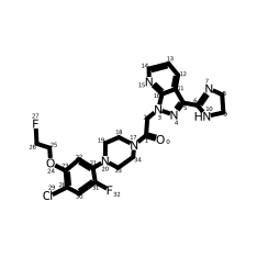 O=C(Cn1nc(C2=NCCN2)c2cccnc21)N1CCN(c2cc(OCCF)c(Cl)cc2F)CC1